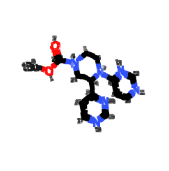 CC(C)(C)OC(=O)N1CCN(c2ccncn2)C(c2ccncn2)C1